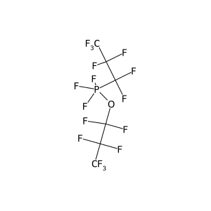 FC(F)(F)C(F)(F)C(F)(F)OP(F)(F)(F)C(F)(F)C(F)(F)C(F)(F)F